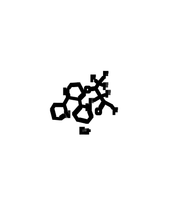 O=C(CF)C(F)(F)C(=O)C(F)(F)F.[Eu].c1ccc(-c2cccnc2-c2ccccn2)nc1